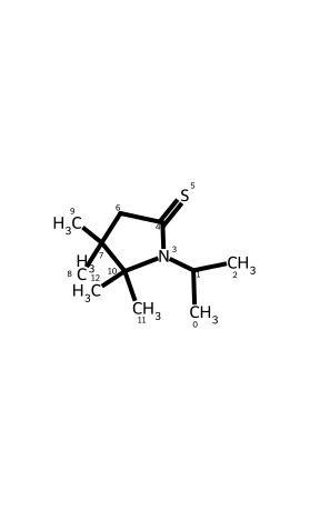 CC(C)N1C(=S)CC(C)(C)C1(C)C